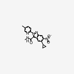 CNC(=O)c1c2cc(C3CC3)c([N+](=O)[O-])cc2nn1-c1ccc(C)cn1